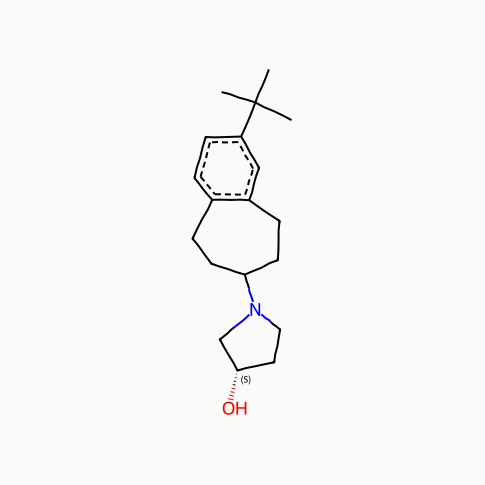 CC(C)(C)c1ccc2c(c1)CCC(N1CC[C@H](O)C1)CC2